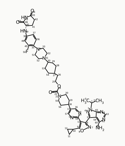 CC(C)n1nc(-c2noc(C3CC3)c2-c2ncc(C3CCN(C(=O)OCCC4CCC(N5CCN(c6ccc(N[C@H]7CCC(=O)NC7=O)cc6F)CC5)CC4)CC3)cn2)c2c(N)ncnc21